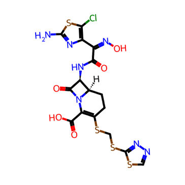 Nc1nc(/C(=N/O)C(=O)N[C@@H]2C(=O)N3C(C(=O)O)=C(SCSc4nncs4)CC[C@H]23)c(Cl)s1